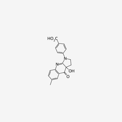 Cc1ccc2c(c1)C(=O)C1(O)CCN(c3ccc(C(=O)O)cc3)C1=N2